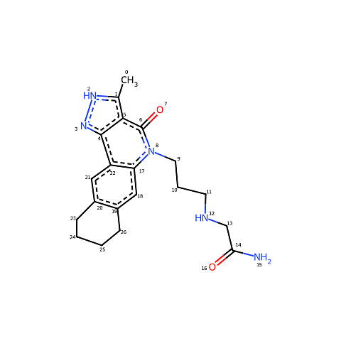 Cc1[nH]nc2c1c(=O)n(CCCNCC(N)=O)c1cc3c(cc21)CCCC3